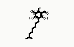 [CH2]C(C)CCCCCCc1c(O)c(Cl)c(C)c(C=O)c1O